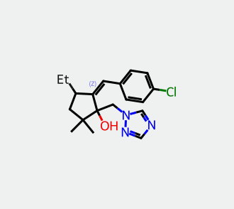 CCC1CC(C)(C)C(O)(Cn2cncn2)/C1=C\c1ccc(Cl)cc1